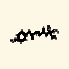 CC(C)(C)OC(=O)CNC(=O)Oc1ccc(N)cc1